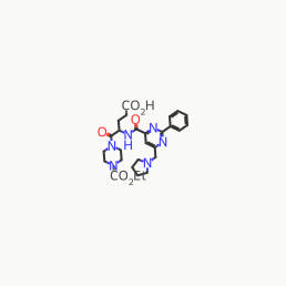 CCOC(=O)N1CCN(C(=O)C(CCC(=O)O)NC(=O)c2cc(CN3CCCC3)nc(-c3ccccc3)n2)CC1